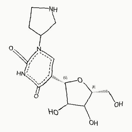 O=c1[nH]c(=O)n(C2CCNC2)cc1[C@@H]1O[C@H](CO)C(O)C1O